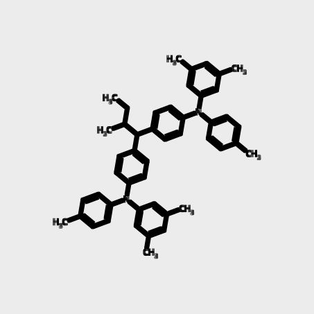 CCC(C)C(c1ccc(N(c2ccc(C)cc2)c2cc(C)cc(C)c2)cc1)c1ccc(N(c2ccc(C)cc2)c2cc(C)cc(C)c2)cc1